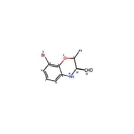 CC1Oc2c(Br)cccc2NC1C=O